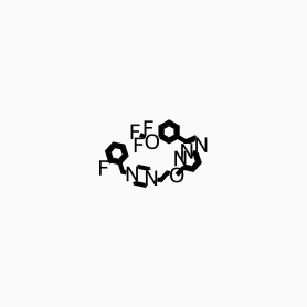 Fc1ccccc1CN1CCN(CCOc2ccc3ncc(-c4cccc(OC(F)(F)F)c4)n3n2)CC1